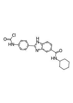 O=C(Cl)Nc1ccc(-c2nc3cc(C(=O)NC4CCCCC4)ccc3[nH]2)cc1